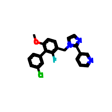 COc1ccc(Cn2ccnc2-c2cccnc2)c(F)c1-c1cccc(Cl)c1